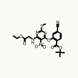 CCOC(=O)CNc1nc(SC)nc(Oc2cc(C#N)ccc2C(=O)OC(C)(C)C)c1[N+](=O)[O-]